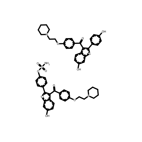 NS(=O)(=O)Oc1ccc(-c2sc3cc(O)ccc3c2C(=O)c2ccc(OCCN3CCCCC3)cc2)cc1.O=C(c1ccc(OCCN2CCCCC2)cc1)c1c(-c2ccc(O)cc2)sc2cc(O)ccc12